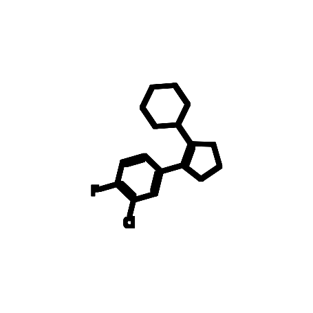 Fc1ccc(C2=C(C3CCCCC3)CCC2)cc1Cl